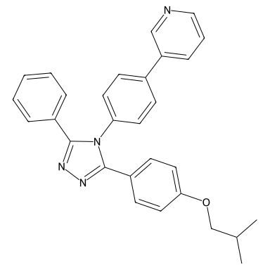 CC(C)COc1ccc(-c2nnc(-c3ccccc3)n2-c2ccc(-c3cccnc3)cc2)cc1